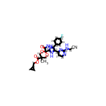 CC1(C(=O)OCC2CC2)COC(C(N)=O)(c2nc(-c3ccc(F)cc3)c(-c3ccnc(NCC#N)n3)[nH]2)OC1